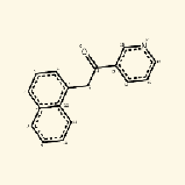 O=C([CH]c1cccc2ccccc12)c1cccnc1